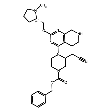 CN1CCC[C@H]1COc1nc2c(c(N3CCN(C(=O)OCc4ccccc4)CC3CC#N)n1)CCNC2